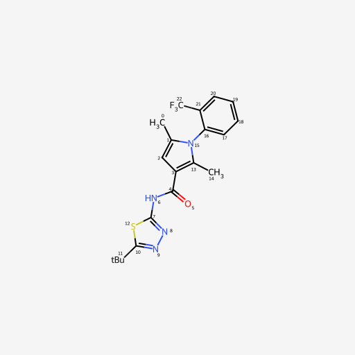 Cc1cc(C(=O)Nc2nnc(C(C)(C)C)s2)c(C)n1-c1ccccc1C(F)(F)F